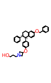 OCCCN1CC(Oc2ccc([C@@H]3c4ccc(OCc5ccccc5)cc4CC[C@@H]3c3ccccc3)cc2)C1